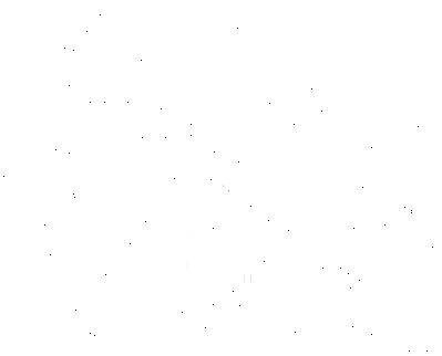 C/C=[Si](\OC)N1CCC2CCCCC2C1